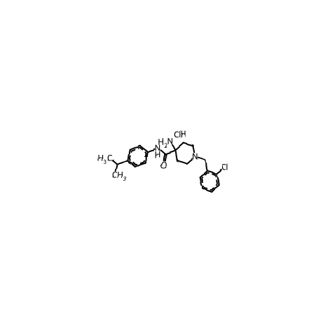 CC(C)c1ccc(NC(=O)C2(N)CCN(Cc3ccccc3Cl)CC2)cc1.Cl